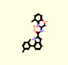 Cc1ccc(C)c(-c2cccc3cc(C(=O)NC4COC5=CC=CC(C)C5=[N+]4[O-])[nH]c23)c1